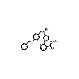 CCN(Cc1ccc(OCc2ccccc2)cc1)C1CCN(c2ncccc2C(=O)OC(C)C)C1